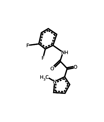 Cn1cccc1C(=O)C(=O)Nc1cccc(F)c1F